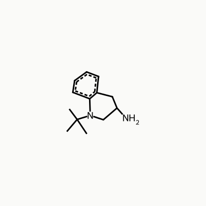 CC(C)(C)N1CC(N)Cc2ccccc21